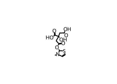 CN1C=CSC1OC(=O)CC(O)(CC(=O)O)C(=O)O